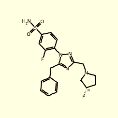 NS(=O)(=O)c1ccc(-n2nc(CN3CC[C@H](F)C3)nc2Cc2ccccc2)c(F)c1